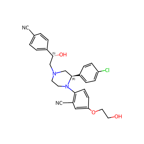 N#Cc1ccc([C@H](O)CN2CCN(c3ccc(OCCO)cc3C#N)[C@H](c3ccc(Cl)cc3)C2)cc1